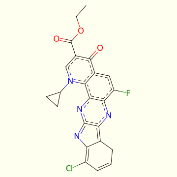 CCOC(=O)c1cn(C2CC2)c2c(cc(F)c3nc4c(nc32)=NC2=C(Cl)C=CCC=42)c1=O